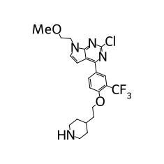 COCCn1ccc2c(-c3ccc(OCCC4CCNCC4)c(C(F)(F)F)c3)nc(Cl)nc21